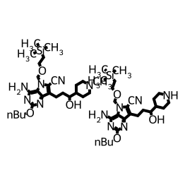 CCCCOc1nc(N)c2c(n1)c(CCC(O)C1CCN(C)CC1)c(C#N)n2COCC[Si](C)(C)C.CCCCOc1nc(N)c2c(n1)c(CCC(O)C1CCNCC1)c(C#N)n2COCC[Si](C)(C)C